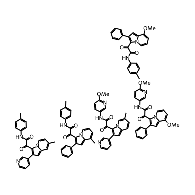 COc1ccc(NC(=O)C(=O)c2c(-c3ccccc3)cc3c(OC)cccn23)cn1.COc1ccc(NC(=O)C(=O)c2c(-c3cccnc3)cc3ccc(C)cn23)cn1.COc1cccn2c(C(=O)C(=O)Nc3ccc(C)cc3)c(-c3ccccc3)cc12.Cc1ccc(NC(=O)C(=O)c2c(-c3ccccc3)cc3c(C)cccn23)cc1.Cc1ccc(NC(=O)C(=O)c2c(-c3cccnc3)cc3cc(C)ccn23)cc1